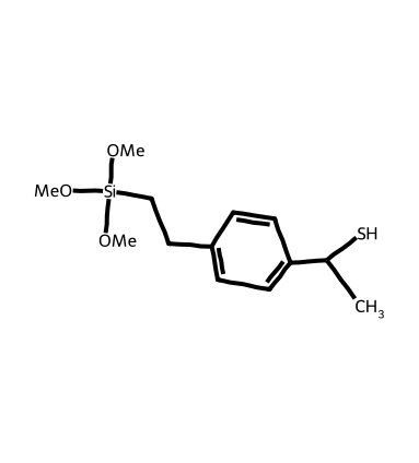 CO[Si](CCc1ccc(C(C)S)cc1)(OC)OC